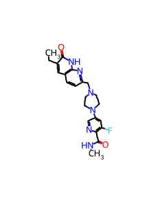 CCc1cc2ccc(CN3CCN(c4cnc(C(=O)NC)c(F)c4)CC3)nc2[nH]c1=O